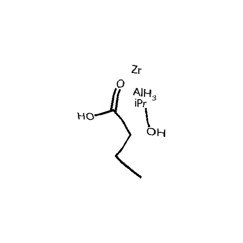 CC(C)O.CCCC(=O)O.[AlH3].[Zr]